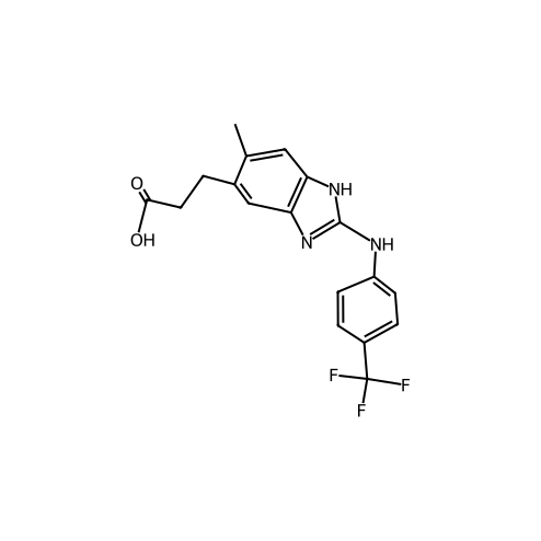 Cc1cc2[nH]c(Nc3ccc(C(F)(F)F)cc3)nc2cc1CCC(=O)O